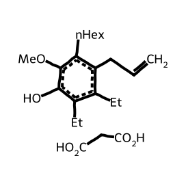 C=CCc1c(CC)c(CC)c(O)c(OC)c1CCCCCC.O=C(O)CC(=O)O